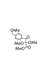 COCc1ccc(C(=O)C(OC)(OC)C(=O)OC)cc1